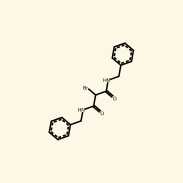 O=C(NCc1ccccc1)C(Br)C(=O)NCc1ccccc1